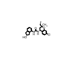 C[C@@]1(CF)C[C@@H](NC(=O)Nc2cccc3c2C[C@H](O)C3)c2ccc(Cl)cc2O1